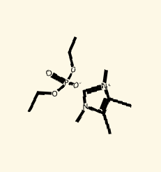 CCOP(=O)([O-])OCC.Cc1c(C)[n+](C)cn1C